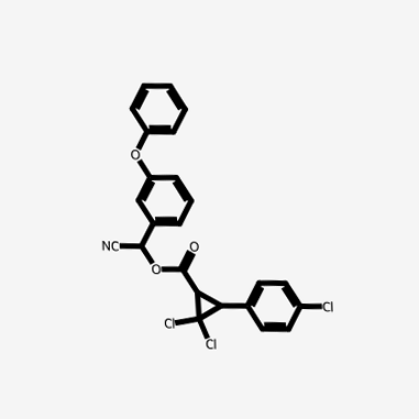 N#CC(OC(=O)C1C(c2ccc(Cl)cc2)C1(Cl)Cl)c1cccc(Oc2ccccc2)c1